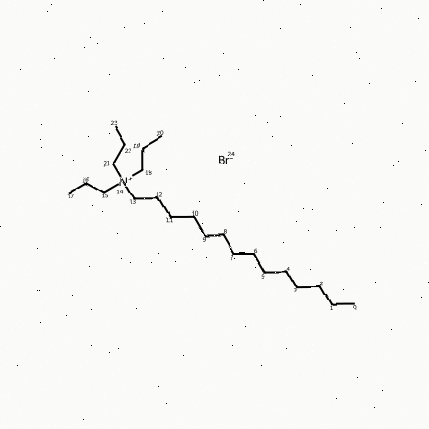 CCCCCCCCCCCCCC[N+](CCC)(CCC)CCC.[Br-]